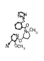 COc1c(C#N)ccnc1O[C@@H]1CC[C@@H](C)N(C(=O)c2ccccc2Sn2nccn2)C1